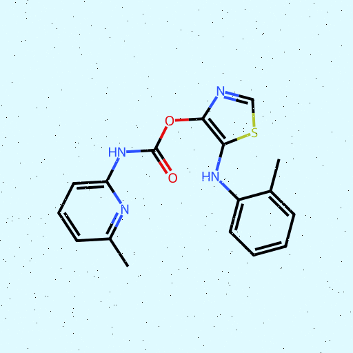 Cc1cccc(NC(=O)Oc2ncsc2Nc2ccccc2C)n1